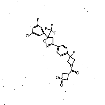 O=C(C1CS(=O)(=O)C1)N1CC(F)(c2ccc(C3=NOC(c4cc(F)cc(Cl)c4)(C(F)(F)F)C3)cc2)C1